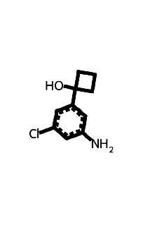 Nc1cc(Cl)cc(C2(O)CCC2)c1